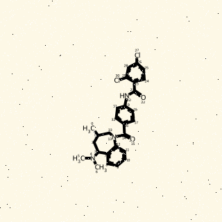 CC1CC(N(C)C)c2ccccc2N(C(=O)c2ccc(NC(=O)c3ccc(Cl)cc3Cl)cc2)C1